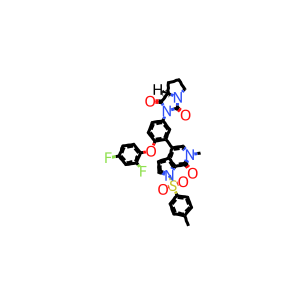 Cc1ccc(S(=O)(=O)n2ccc3c(-c4cc(N5C(=O)[C@@H]6CCCN6C5=O)ccc4Oc4ccc(F)cc4F)cn(C)c(=O)c32)cc1